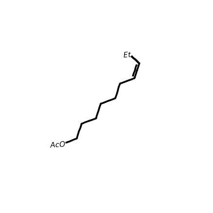 CC/C=C\CCCCCCOC(C)=O